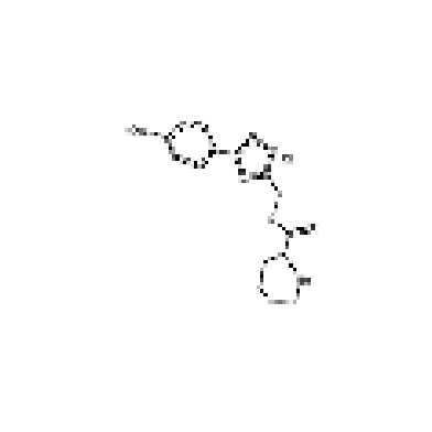 CCCCCCCCCCc1ccc(-c2noc(CNC(=O)[C@@H]3CCCCN3)n2)cc1.Cl